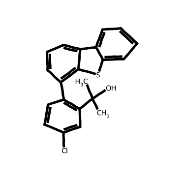 CC(C)(O)c1cc(Cl)ccc1-c1cccc2c1sc1ccccc12